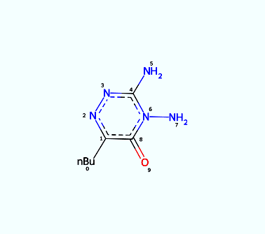 CCCCc1nnc(N)n(N)c1=O